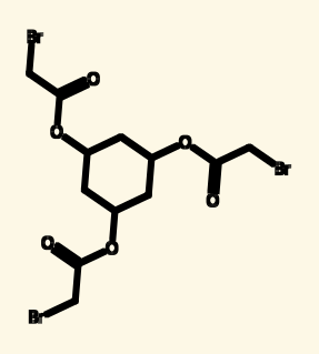 O=C(CBr)OC1CC(OC(=O)CBr)CC(OC(=O)CBr)C1